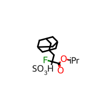 CC(C)OC(=O)C(F)(CC12CC3CC(CC(C3)C1)C2)S(=O)(=O)O